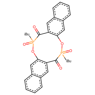 CCC(C)P1(=O)Oc2cc3ccccc3cc2C(=O)P(=O)(C(C)CC)Oc2cc3ccccc3cc2C1=O